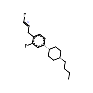 CCCC[C@H]1CC[C@H](c2ccc(C/C=C/F)c(F)c2)CC1